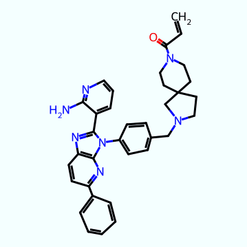 C=CC(=O)N1CCC2(CCN(Cc3ccc(-n4c(-c5cccnc5N)nc5ccc(-c6ccccc6)nc54)cc3)C2)CC1